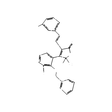 CC1(O)OC(=O)C(C=Cc2cccc(F)c2)=C1c1cccc(F)c1OCc1ccccc1